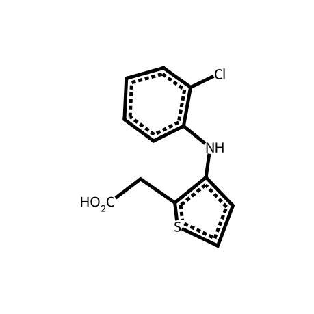 O=C(O)Cc1sccc1Nc1ccccc1Cl